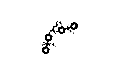 CCCC(Oc1ccc(C(C)(C)c2ccccc2)cc1)Oc1ccc(C(C)(C)c2ccccc2)cc1